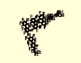 CC[SiH](CC)CC.CC[SiH](CC)CC.CC[SiH](CC)CC.Fc1c(F)c(F)c(-c2c(F)c(F)c(F)c(F)c2F)c(F)c1F.Fc1c(F)c(F)c(-c2c(F)c(F)c(F)c(F)c2F)c(F)c1F.Fc1c(F)c(F)c(-c2c(F)c(F)c(F)c(F)c2F)c(F)c1F.Fc1c(F)c(F)c(-c2c(F)c(F)c(F)c(F)c2F)c(F)c1F.OB(O)O